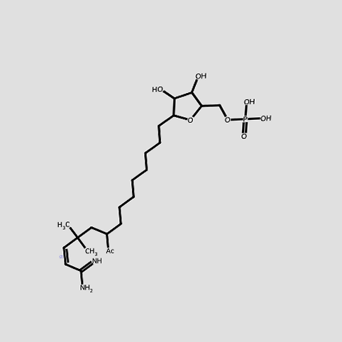 CC(=O)C(CCCCCCCCC1OC(COP(=O)(O)O)C(O)C1O)CC(C)(C)/C=C\C(=N)N